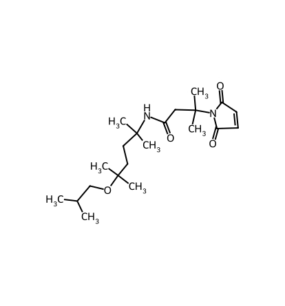 CC(C)COC(C)(C)CCC(C)(C)NC(=O)CC(C)(C)N1C(=O)C=CC1=O